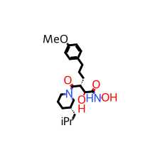 COc1ccc(CCC[C@@H](C(=O)N2CCC[C@@H](CC(C)C)C2)[C@H](O)C(=O)NO)cc1